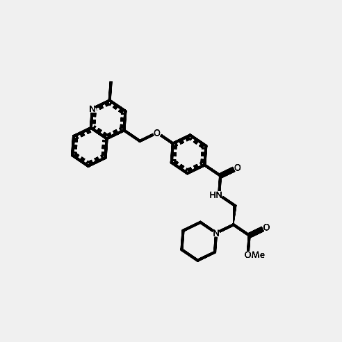 COC(=O)[C@H](CNC(=O)c1ccc(OCc2cc(C)nc3ccccc23)cc1)N1CCCCC1